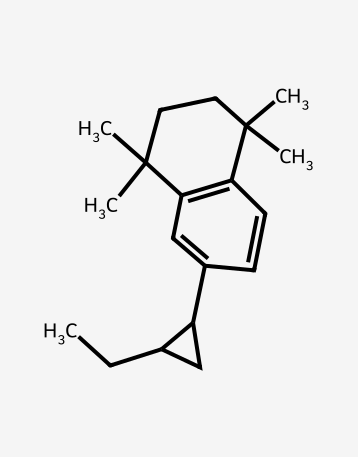 CCC1CC1c1ccc2c(c1)C(C)(C)CCC2(C)C